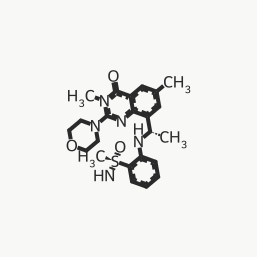 Cc1cc([C@H](C)Nc2ccccc2[S@](C)(=N)=O)c2nc(N3CCOCC3)n(C)c(=O)c2c1